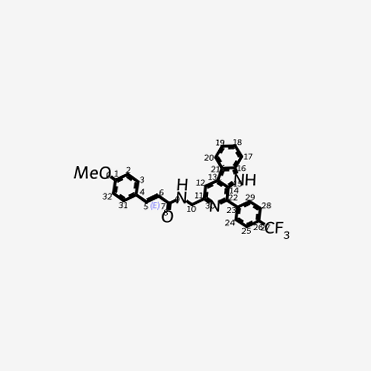 COc1ccc(/C=C/C(=O)NCc2cc3c([nH]c4ccccc43)c(-c3ccc(C(F)(F)F)cc3)n2)cc1